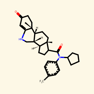 C[C@]12CCC(=O)C=C1NC[C@@H]1[C@H]2CC[C@]2(C)C(C(=O)N(c3ccc(C(F)(F)F)cc3)C3CCCC3)CC[C@@H]12